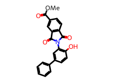 COC(=O)c1ccc2c(c1)C(=O)N(c1cc(-c3ccccc3)ccc1O)C2=O